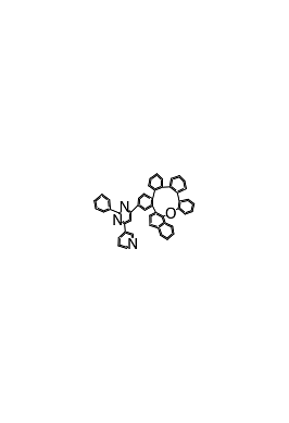 c1ccc(-c2nc(-c3cccnc3)cc(-c3ccc4c(c3)-c3ccc5ccccc5c3Oc3ccccc3-c3ccccc3-c3ccccc3-4)n2)cc1